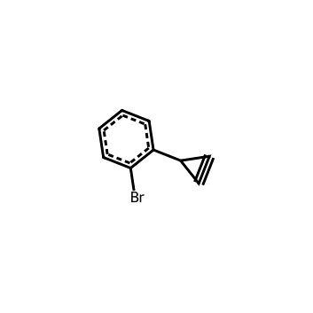 Brc1ccccc1C1C#C1